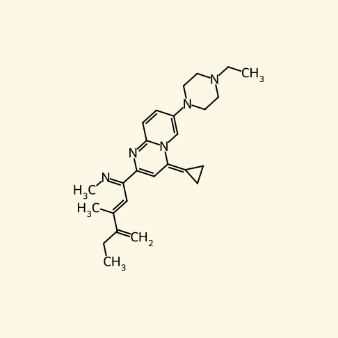 C=C(CC)/C(C)=C/C(=N\C)C1=CC(=C2CC2)N2C=C(N3CCN(CC)CC3)C=CC2=N1